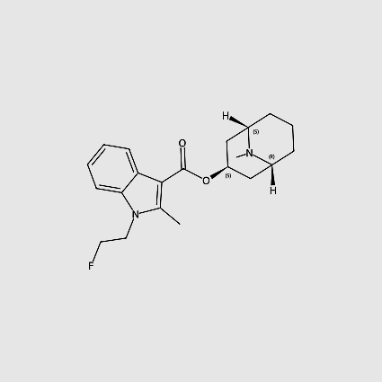 Cc1c(C(=O)O[C@@H]2C[C@H]3CCC[C@@H](C2)N3C)c2ccccc2n1CCF